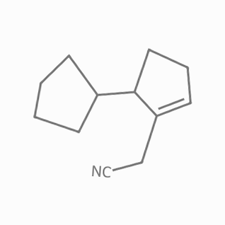 N#CCC1=CCCC1C1CCCC1